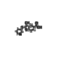 Cc1c(Sc2cccnc2)sc2ccc(C(=O)O)cc12